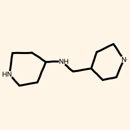 C1CC(CNC2CCNCC2)CC[N]1